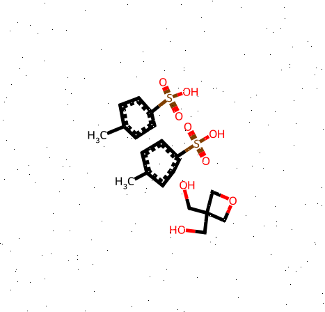 Cc1ccc(S(=O)(=O)O)cc1.Cc1ccc(S(=O)(=O)O)cc1.OCC1(CO)COC1